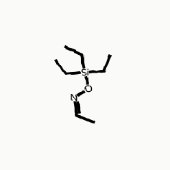 C/C=N\O[Si](CC)(CC)CC